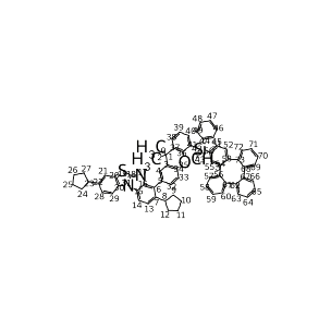 CC1(C)c2cc(-c3c(C4CCCC4)ccc4c3nc3sc5cc(C6CCCC6)ccc5n34)ccc2Oc2c1cccc2[Si](C)(c1ccccc1)c1ccc2c(c1)-c1ccccc1-c1ccccc1-c1ccccc1-2